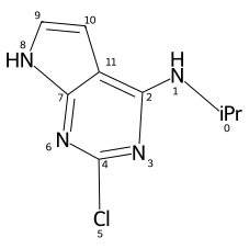 CC(C)Nc1nc(Cl)nc2[nH]ccc12